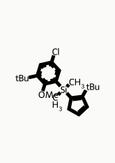 COc1c(C(C)(C)C)cc(Cl)cc1[Si](C)(C)C1=C(C(C)(C)C)C=CC1